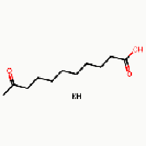 CC(=O)CCCCCCCCC(=O)O.[KH]